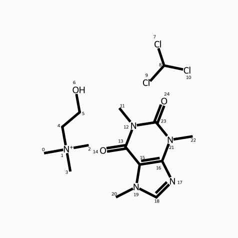 C[N+](C)(C)CCO.ClC(Cl)Cl.Cn1c(=O)c2c(ncn2C)n(C)c1=O